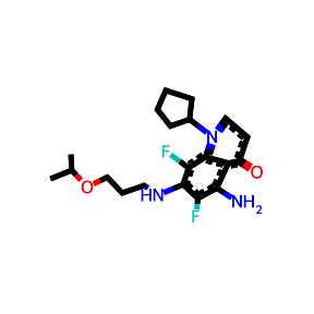 CC(C)OCCCNc1c(F)c(N)c2c(=O)ccn(C3CCCC3)c2c1F